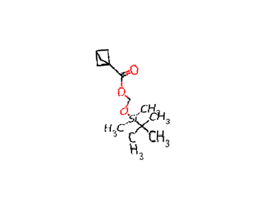 CC(C)(C)[Si](C)(C)OCOC(=O)C12CC(C1)C2